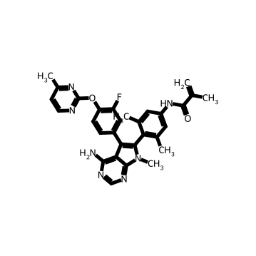 C=C(C)C(=O)Nc1cc(C)c(-c2c(-c3ccc(Oc4nccc(C)n4)c(F)c3)c3c(N)ncnc3n2C)c(C)c1